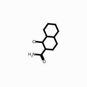 NC(=O)C1CCC2CCCCC2C1Cl